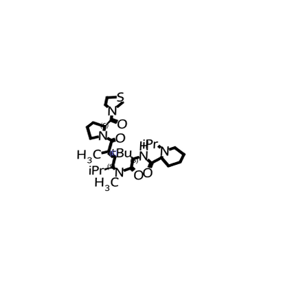 C/C(=C\[C@H](C(C)C)N(C)C(=O)[C@@H](NC(=O)C1CCCCN1C(C)C)C(C)(C)C)C(=O)N1CCC[C@H]1C(=O)N1CCSC1